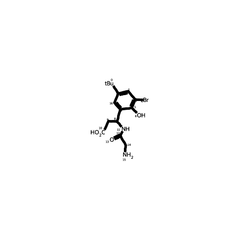 CC(C)(C)c1cc(Br)c(O)c(C(CC(=O)O)NC(=O)CN)c1